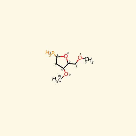 COCC1OC(P)CC1OC